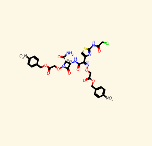 NC(=O)[C@@H]1[C@@H](NC(=O)/C(=N\OCC(=O)OCc2ccc([N+](=O)[O-])cc2)c2csc(NC(=O)CCl)n2)C(=O)N1OCC(=O)OCc1ccc([N+](=O)[O-])cc1